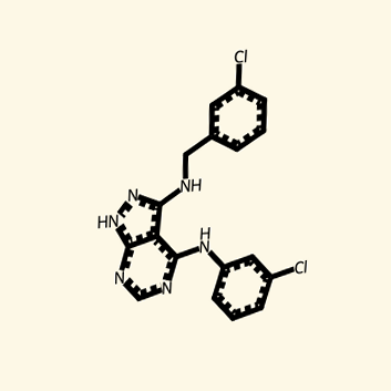 Clc1cccc(CNc2n[nH]c3ncnc(Nc4cccc(Cl)c4)c23)c1